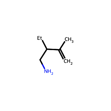 C=C(C)C(CC)CN